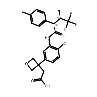 C[C@H]([C@H](C(=O)Nc1cc(C2(CC(=O)O)COC2)ccc1Cl)c1ccc(Cl)cc1)C(F)(F)F